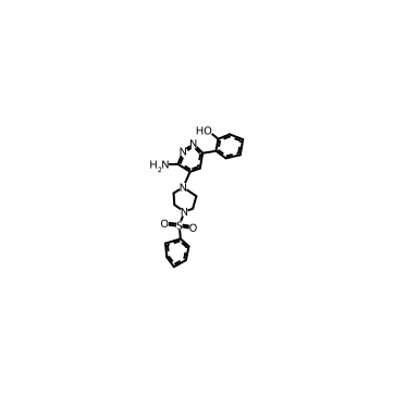 Nc1nnc(-c2ccccc2O)cc1N1CCN(S(=O)(=O)c2ccccc2)CC1